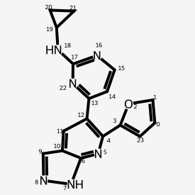 c1coc(-c2nc3[nH]ncc3cc2-c2ccnc(NC3CC3)n2)c1